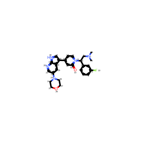 CN(C)CC(c1cccc(F)c1)n1ccc(-c2c[nH]c3ncc(N4CCOCC4)cc23)cc1=O